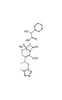 CC(Sc1nnnn1C)C1=C(C(=O)[O-])N2C(=O)[C@@H](NC(=O)C(O)c3ccccc3)[C@H]2SC1.[Na+]